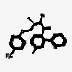 CCN(C(=O)c1ccc(C)cc1-c1ncccn1)[C@@H](C)COc1ncc(C(F)(F)F)cn1